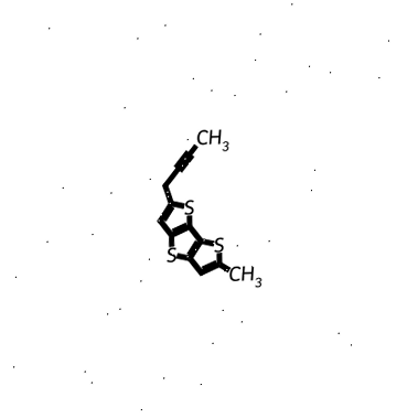 CC#CCc1cc2sc3cc(C)sc3c2s1